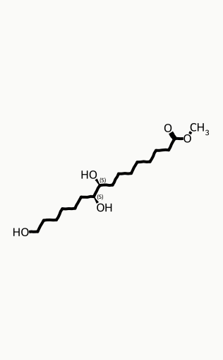 COC(=O)CCCCCCC[C@H](O)[C@@H](O)CCCCCCO